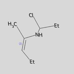 CC/C=C(/C)NC(Cl)CC